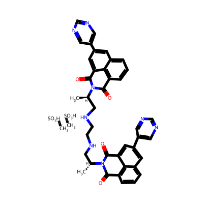 CS(=O)(=O)O.CS(=O)(=O)O.C[C@H](CNCCNC[C@@H](C)N1C(=O)c2cccc3cc(-c4cncnc4)cc(c23)C1=O)N1C(=O)c2cccc3cc(-c4cncnc4)cc(c23)C1=O